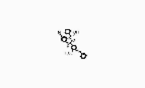 COc1cc([C@@H](Nc2ccc(C#N)cc2)C(=O)N[C@@H](CO)c2ccccc2)ccc1OCc1ccccc1